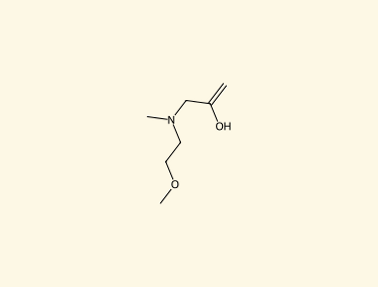 C=C(O)CN(C)CCOC